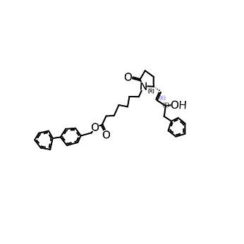 O=C(CCCCCCN1C(=O)CC[C@@H]1/C=C/[C@@H](O)Cc1ccccc1)OCc1ccc(-c2ccccc2)cc1